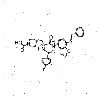 COc1cc(NC(=O)[C@H](CC2CCN(C(=O)O)CC2)NC(=O)c2ccc(F)cc2)ccc1SCc1ccccc1